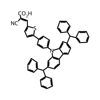 N#C/C(=C\c1ccc(-c2ccc(-n3c4cc(C(c5ccccc5)c5ccccc5)ccc4c4ccc(C(c5ccccc5)c5ccccc5)cc43)cc2)s1)C(=O)O